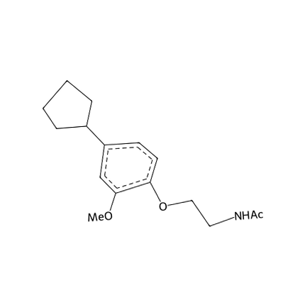 COc1cc(C2CCCC2)ccc1OCCNC(C)=O